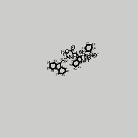 O=C(NC(Cc1c(S(=O)(=O)c2ccccc2[N+](=O)[O-])[nH]c2ccccc12)C(=O)O)OCC1c2ccccc2-c2ccccc21